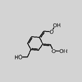 OCc1ccc(=COO)c(=COO)c1